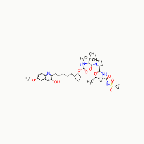 C=C[C@@H]1C[C@]1(NC(=O)[C@@H]1CCCN1C(=O)[C@@H](NC(=O)O[C@@H]1CCC[C@H]1CCCCCc1nc2ccc(OC)cc2cc1O)C(C)(C)C)C(=O)NS(=O)(=O)C1CC1